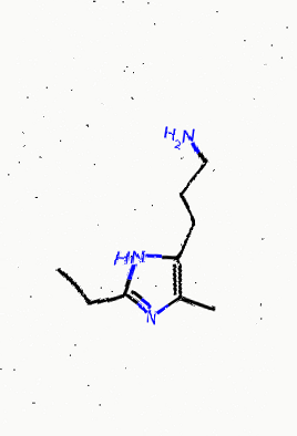 CCc1nc(C)c(CCCN)[nH]1